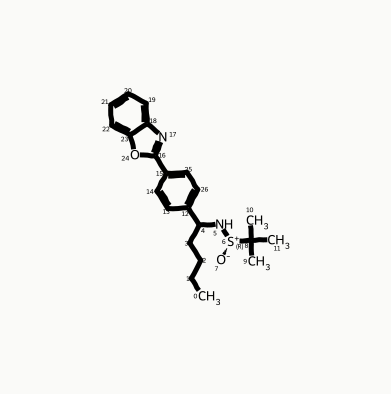 CCCCC(N[S@@+]([O-])C(C)(C)C)c1ccc(-c2nc3ccccc3o2)cc1